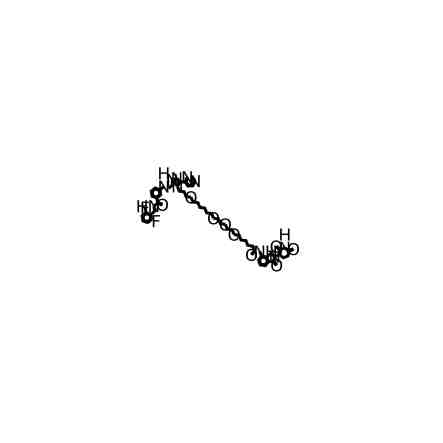 O=C1CCC(N2Cc3c(NC(=O)CCCCCOCCOCCOCCCCCCOCCCn4c(CNc5cccc(C(=O)NCc6c(F)cccc6F)c5)nnc4-c4ccncn4)cccc3C2=O)C(=O)N1